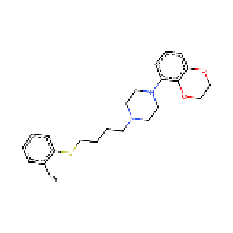 CC(C)c1ccccc1SCCCCN1CCN(c2cccc3c2OCCO3)CC1